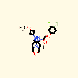 O=C(COc1ccc(Cl)c(F)c1)NC1CCC2COC[C@H](C1)N2c1cnn(C2CC(OC(F)(F)F)C2)c1